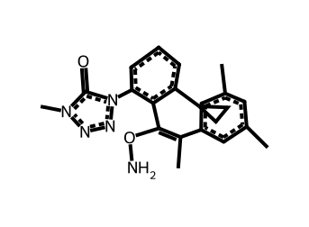 C/C(=C(\ON)c1c(C2CC2)cccc1-n1nnn(C)c1=O)c1cc(C)cc(C)c1